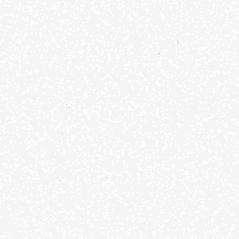 CC(C)N(c1cncc(Nc2ccc(-c3ccc(C(=O)N(C)C)cc3)cn2)c1)S(C)(=O)=O